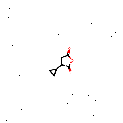 O=C1CC(C2CC2)C(=O)O1